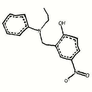 CCN(Cc1cc([N+](=O)[O-])ccc1O)c1ccccc1